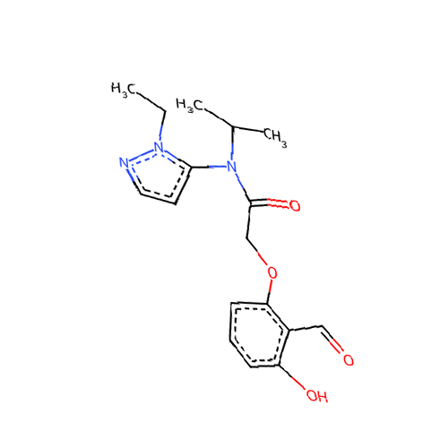 CCn1nccc1N(C(=O)COc1cccc(O)c1C=O)C(C)C